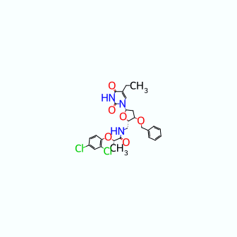 CCc1cn([C@@H]2CC(OCc3ccccc3)[C@H](CNC(=O)[C@H](C)Oc3ccc(Cl)cc3Cl)O2)c(=O)[nH]c1=O